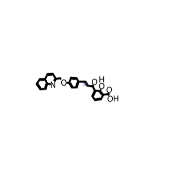 O=C(O)c1cccc(C(=O)/C=C/c2ccc(OCc3ccc4ccccc4n3)cc2)c1O